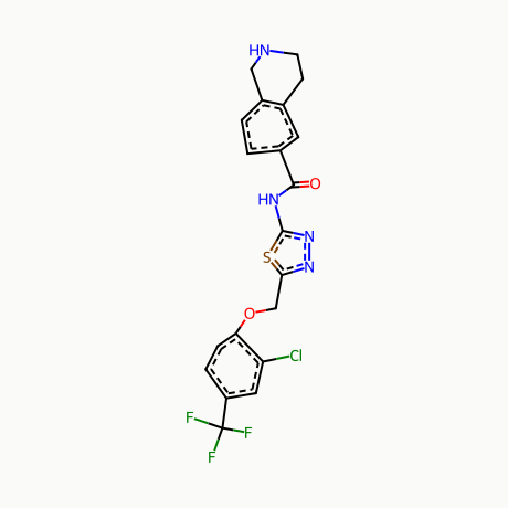 O=C(Nc1nnc(COc2ccc(C(F)(F)F)cc2Cl)s1)c1ccc2c(c1)CCNC2